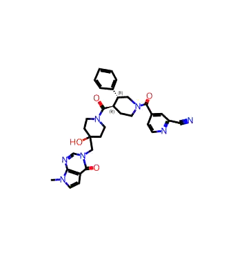 Cn1ccc2c(=O)n(CC3(O)CCN(C(=O)[C@@H]4CCN(C(=O)c5ccnc(C#N)c5)C[C@H]4c4ccccc4)CC3)cnc21